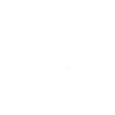 O=c1[nH]c2scc(-c3ccco3)c2c(O)c1-c1ccccc1